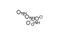 O=C1Nc2cc(Cl)ccc2C1=C(Nc1ccc(CNc2ccccc2)cc1)c1ccccc1